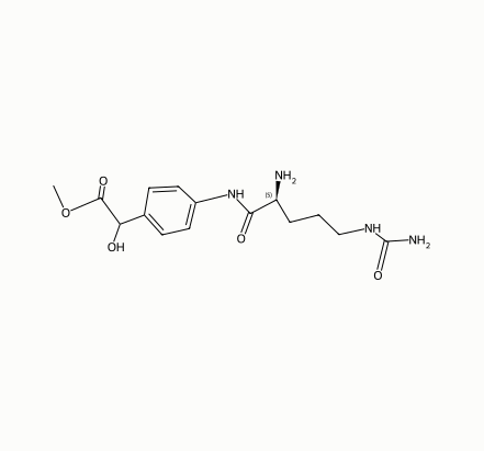 COC(=O)C(O)c1ccc(NC(=O)[C@@H](N)CCCNC(N)=O)cc1